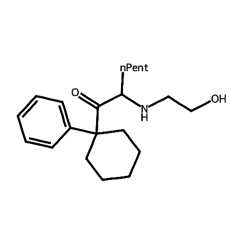 CCCCCC(NCCO)C(=O)C1(c2ccccc2)CCCCC1